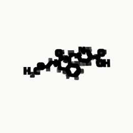 COCCN1Cc2ccccc2N(Cc2ccc(C(=O)O)cn2)C1=O